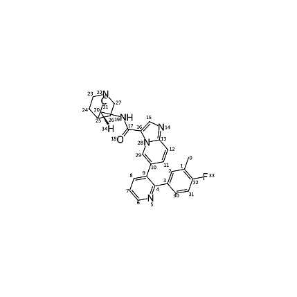 Cc1cc(-c2ncccc2-c2ccc3ncc(C(=O)N[C@H]4CN5CCC4CC5)n3c2)ccc1F